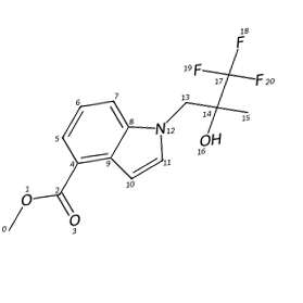 COC(=O)c1cccc2c1ccn2CC(C)(O)C(F)(F)F